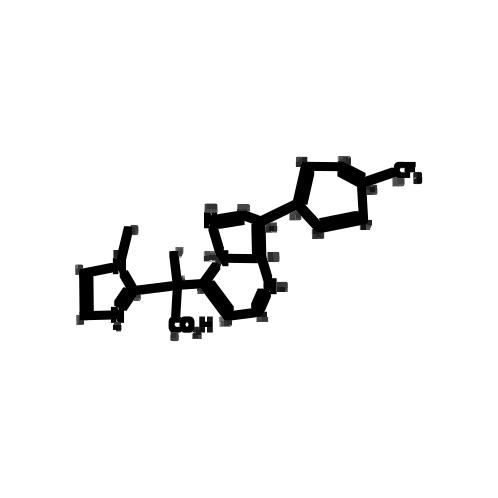 Cn1ccnc1C(C)(C(=O)O)c1ccnc2c(-c3ccc(C(F)(F)F)cc3)cnn12